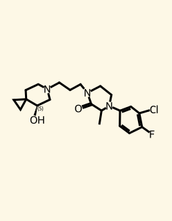 CC1C(=O)N(CCCN2CCC3(CC3)[C@H](O)C2)CCN1c1ccc(F)c(Cl)c1